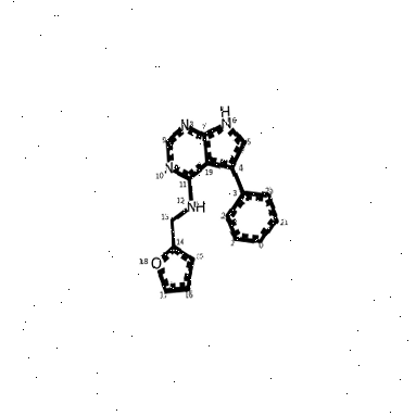 c1ccc(-c2c[nH]c3ncnc(NCc4ccco4)c23)cc1